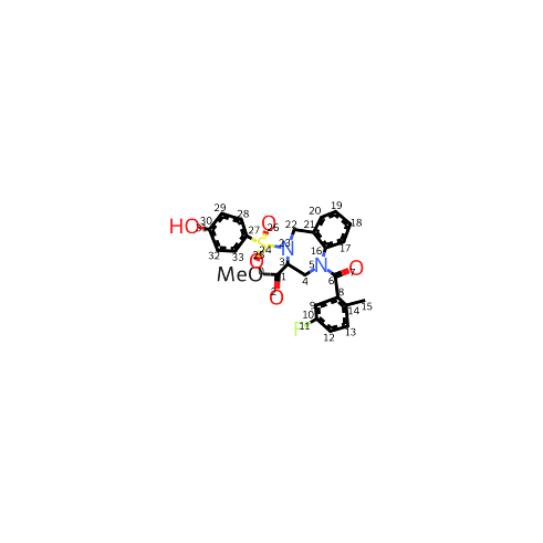 COC(=O)C1CN(C(=O)c2cc(F)ccc2C)c2ccccc2CN1S(=O)(=O)c1ccc(O)cc1